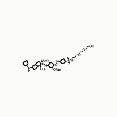 COc1cc(N=Nc2ccc3cc(Nc4ccccc4)ccc3c2O)c(OC)cc1N=Nc1ccc(S(=O)(=O)NCCCOCCOCCO)cc1